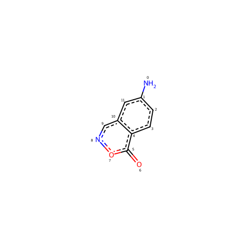 Nc1ccc2c(=O)oncc2c1